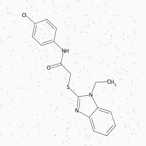 CCn1c(SCC(=O)Nc2ccc(Cl)cc2)nc2ccccc21